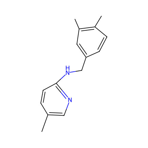 Cc1ccc(NCc2ccc(C)c(C)c2)nc1